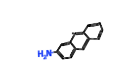 Nc1ccc2cc3ccccc3[c]c2c1